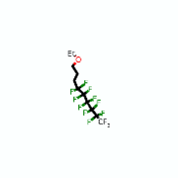 CCOCCCC(F)(F)C(F)(F)C(F)(F)C(F)(F)C(F)(F)C(F)(F)F